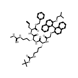 C=CC[C@H](NC(=O)[C@@H](CCCNC(=N)NC)NC(=O)[C@@H](CCCCNC(=O)OC(C)(C)C)NC(=O)COc1ccc2ccccc2c1-c1c(OCC(C)C)ccc2ccccc12)C(=O)OCc1ccccc1